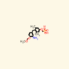 COCOc1ccc(Cc2c(C)cc(OCP(=O)(O)O)cc2C)cc1N